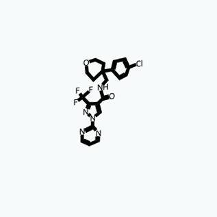 O=C(NCC1(c2ccc(Cl)cc2)CCOCC1)c1cn(-c2ncccn2)nc1C(F)(F)F